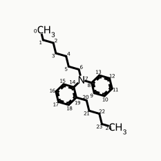 CCCCCCCN(c1ccccc1)c1ccccc1CCCCC